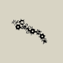 C/C(NC(=O)/N=C1\SCCC(C)N1c1c(C)cccc1C)=C(/C)c1ccc(-c2ncn(-c3ccc(OC(F)(F)F)cc3)n2)cc1